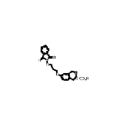 O=C(O)[C@@H]1Cc2ccc(OCCCON3C(=O)c4ccccc4C3=O)cc2CN1